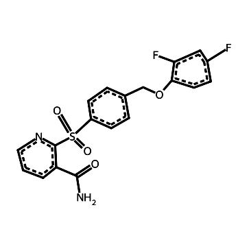 NC(=O)c1cccnc1S(=O)(=O)c1ccc(COc2ccc(F)cc2F)cc1